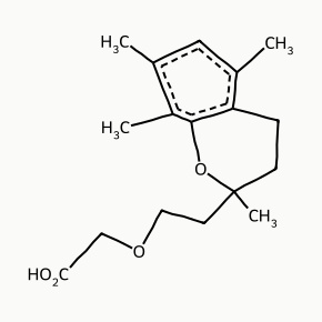 Cc1cc(C)c2c(c1C)OC(C)(CCOCC(=O)O)CC2